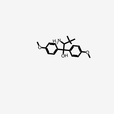 COc1ccc(C(O)(c2ccc(OC)cc2)C(N)C(C)(C)C)cc1